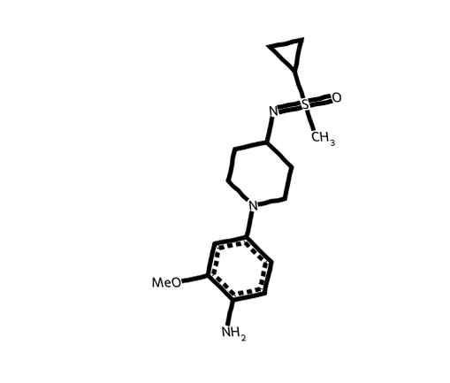 COc1cc(N2CCC(N=S(C)(=O)C3CC3)CC2)ccc1N